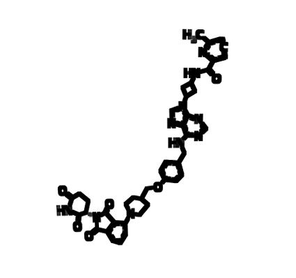 Cc1cccc(C(=O)NC2CC(n3cnc4c(NCc5ccc(OCC6CCN(c7cccc8c7C(=O)N([C@H]7CCC(=O)NC7=O)C8=O)CC6)cc5)ncnc43)C2)n1